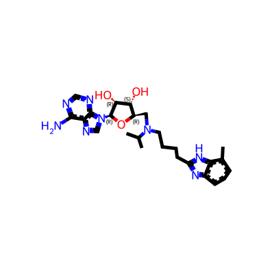 Cc1cccc2nc(CCCCN(C[C@H]3O[C@@H](n4cnc5c(N)ncnc54)[C@H](O)[C@@H]3O)C(C)C)[nH]c12